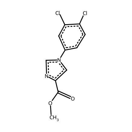 COC(=O)c1cn(-c2ccc(Cl)c(Cl)c2)cn1